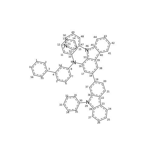 c1ccc(-c2cccc(N(c3ccccc3)c3cc(-c4ccc5c6ccccc6n(-c6ccccc6)c5c4)cc4c5ccccc5n(-c5cccnc5)c34)c2)cc1